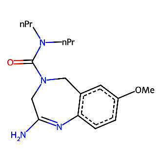 CCCN(CCC)C(=O)N1CC(N)=Nc2ccc(OC)cc2C1